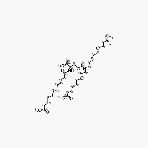 CC(=O)CCOCCOCCN(CCOCCOCCC(C)=O)C(=O)CCC(NC(=O)CCCCCCCCCCC(=O)O)C(=O)O